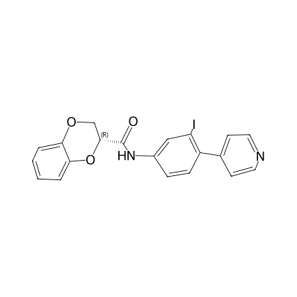 O=C(Nc1ccc(-c2ccncc2)c(I)c1)[C@H]1COc2ccccc2O1